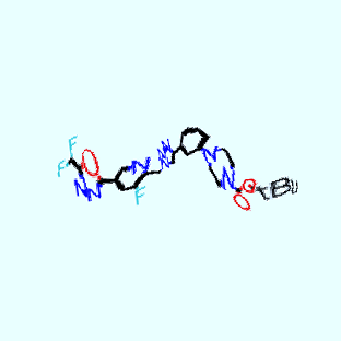 CC(C)(C)OC(=O)N1CCN(c2cccc(-c3cn(Cc4ncc(-c5nnc(C(F)F)o5)cc4F)nn3)c2)CC1